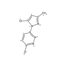 Cc1cc(Cl)n(-c2ccc(Cl)nn2)n1